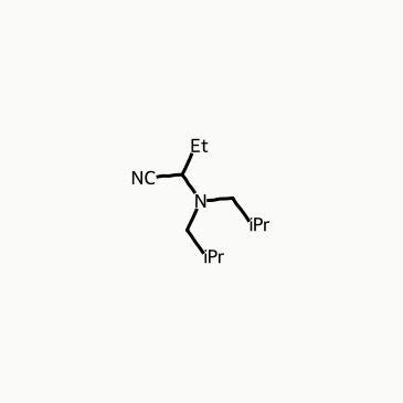 CCC(C#N)N(CC(C)C)CC(C)C